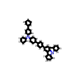 c1ccc(-c2ccc(N(c3ccccc3)c3ccc(-c4ccc(-c5cc6c7ccccc7n7c8ccccc8c(c5)c67)cc4)cc3)cc2)cc1